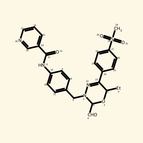 CCC1OC(C=O)N(Cc2ccc(NC(=O)c3cccnc3)cc2)N=C1c1ccc(S(C)(=O)=O)cc1